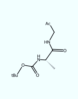 CC(=O)CNC(=O)[C@H](C)NC(=O)OC(C)(C)C